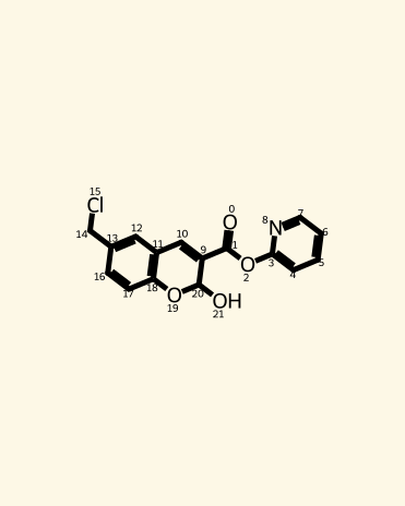 O=C(Oc1ccccn1)C1=Cc2cc(CCl)ccc2OC1O